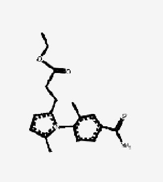 CCOC(=O)CCc1ccc(C)n1-c1ccc(C(N)=O)cc1C